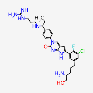 CC[C@H](NCCCNC(=N)N)c1ccc(-n2cc3cc(-c4cc(CCC[C@@H](N)CO)cc(Cl)c4F)[nH]c3nc2=O)cc1